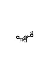 COc1cccc(CCN2CCN(CCCc3ccccc3)CC2)c1.Cl.Cl